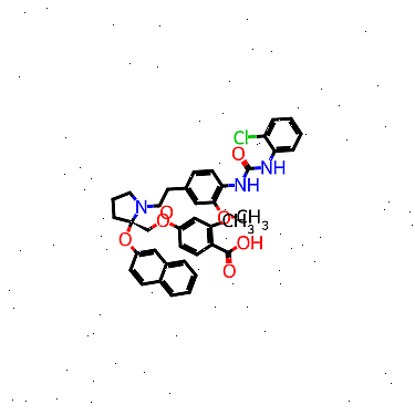 COc1cc(CC(=O)N2CCC[C@@]2(COc2ccc(C(=O)O)c(C)c2)Oc2ccc3ccccc3c2)ccc1NC(=O)Nc1ccccc1Cl